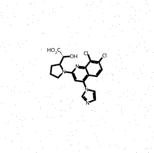 O=C(O)[C@H](O)C1CCCN1c1cc(-n2ccnc2)c2ccc(Cl)c(Cl)c2n1